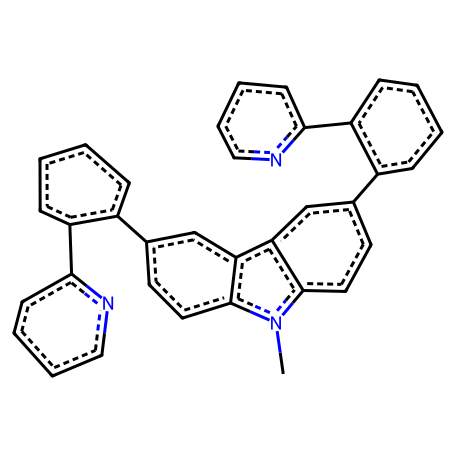 Cn1c2ccc(-c3ccccc3-c3ccccn3)cc2c2cc(-c3ccccc3-c3ccccn3)ccc21